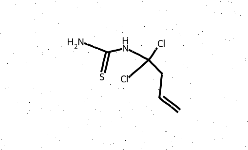 C=CCC(Cl)(Cl)NC(N)=S